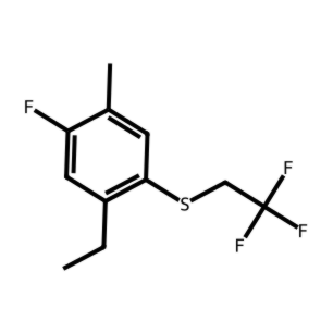 CCc1cc(F)c(C)cc1SCC(F)(F)F